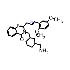 COc1ccc(OC)c(/C=C/Cc2nc3ccccc3c(=O)n2CC2CCCC(CN)C2)c1